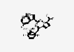 O=C(O)[C@H]1[C@H]2CC[C@H](CC2)[C@@H]1Cc1nc(-c2c[nH]c3ncc(F)cc23)nn2c(C(F)F)ccc12